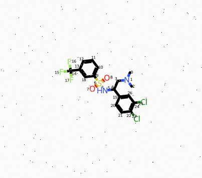 CN(C)CC(NS(=O)(=O)c1cccc(C(F)(F)F)c1)c1ccc(Cl)c(Cl)c1